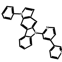 c1ccc(-n2ccc3cc4c(cc32)c2ccccc2n4-c2cc(-c3cccnc3)ccn2)cc1